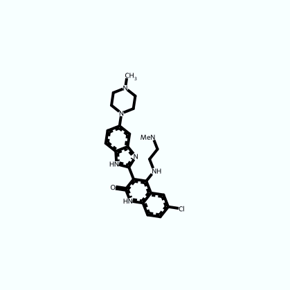 CNCCNc1c(-c2nc3cc(N4CCN(C)CC4)ccc3[nH]2)c(=O)[nH]c2ccc(Cl)cc12